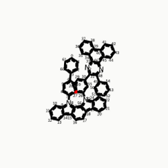 c1ccc(-c2ccc(-n3c4ccccc4c4ccc5c6ccccc6n(-c6cccc(-c7nc8c9ccccc9c9ccccc9c8nc7-c7ccccc7)c6)c5c43)cc2)cc1